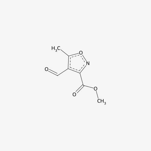 COC(=O)c1noc(C)c1C=O